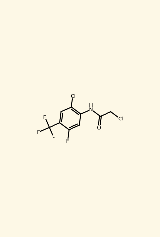 O=C(CCl)Nc1cc(F)c(C(F)(F)F)cc1Cl